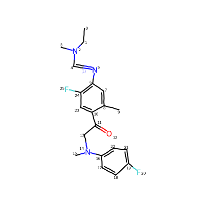 CCN(C)/C=N/c1cc(C)c(C(=O)CN(C)c2ccc(F)cc2)cc1F